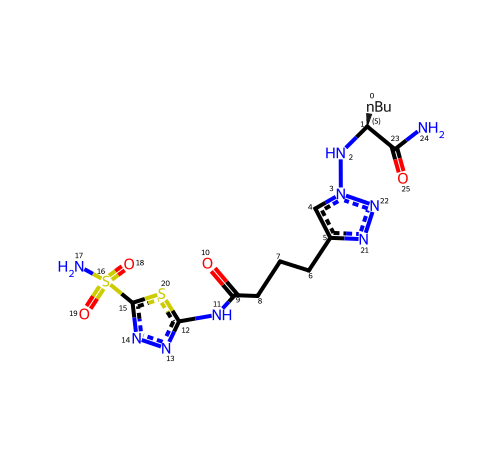 CCCC[C@H](Nn1cc(CCCC(=O)Nc2nnc(S(N)(=O)=O)s2)nn1)C(N)=O